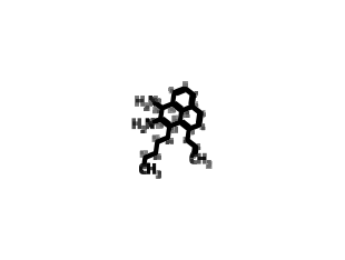 C=CCc1ccc2cccc3c2c1C(CCCCC)=C(N)C3N